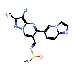 Cc1nn2cc(C=N[S+]([O-])C(C)(C)C)c(-c3ccc4nccn4c3)nc2c1Cl